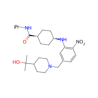 CC(C)NC(=O)[C@H]1CC[C@@H](Nc2cc(CN3CCC(C(C)(C)O)CC3)ccc2[N+](=O)[O-])CC1